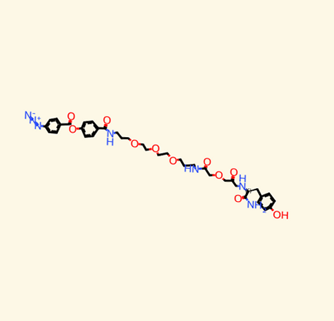 [N-]=[N+]=Nc1ccc(C(=O)Oc2ccc(C(=O)NCCCOCCOCCOCCCNC(=O)COCC(=O)CN[C@@H](Cc3ccc(O)cc3)C(N)=O)cc2)cc1